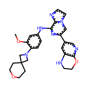 COc1cc(Nc2nc(-c3cnc4c(c3)NCCO4)cn3ccnc23)ccc1N1CC2(CCOCC2)C1